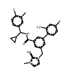 Cc1cc(C(NC(=O)c2cc(Cn3ccn(C)c3=N)cc(-c3ccc(F)cc3C(F)(F)F)c2)C2CC2)ccc1F